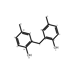 Cc1ccc(O)c(Cc2cc(C)ccc2O)c1